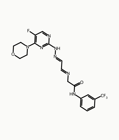 O=C(C/N=C/C=N/Nc1ncc(F)c(N2CCOCC2)n1)Nc1cccc(C(F)(F)F)c1